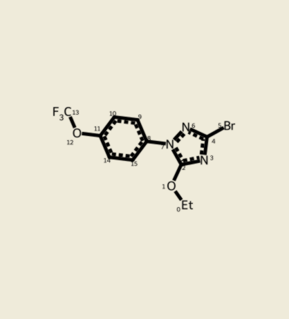 CCOc1nc(Br)nn1-c1ccc(OC(F)(F)F)cc1